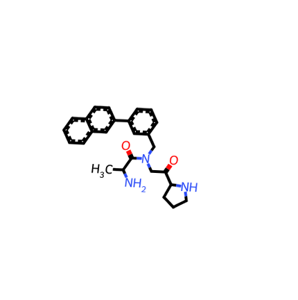 CC(N)C(=O)N(CC(=O)C1CCCN1)Cc1cccc(-c2ccc3ccccc3c2)c1